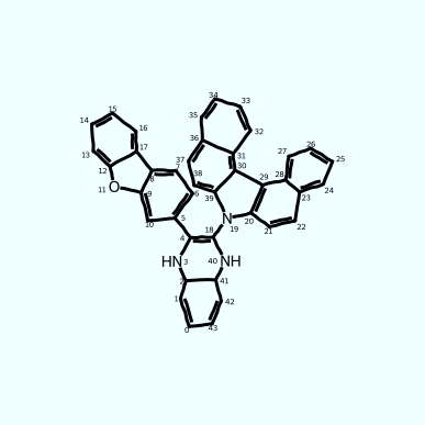 C1=CC2NC(c3ccc4c(c3)oc3ccccc34)=C(n3c4ccc5ccccc5c4c4c5ccccc5ccc43)NC2C=C1